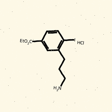 CCOC(=O)c1ccc(I)c(CCCN)c1.Cl